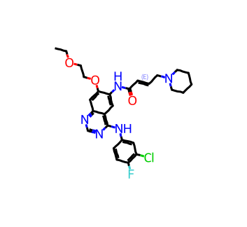 CCOCCOc1cc2ncnc(Nc3ccc(F)c(Cl)c3)c2cc1NC(=O)/C=C/CN1CCCCC1